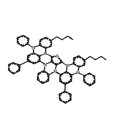 CCCCc1ccc2c(c1)B1c3sc4c5c3N(c3ccccc3N5c3cc(-c5ccccc5)cc5c3B4c3ccc(CCCC)cc3N5c3ccccc3)c3cc(-c4ccccc4)cc(c31)N2c1ccccc1